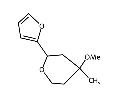 COC1(C)CCOC(c2ccco2)C1